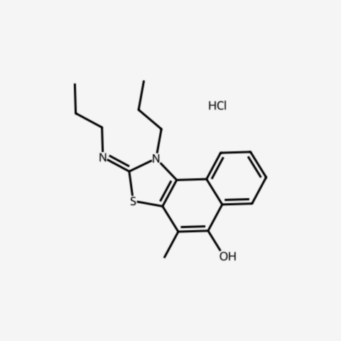 CCCN=c1sc2c(C)c(O)c3ccccc3c2n1CCC.Cl